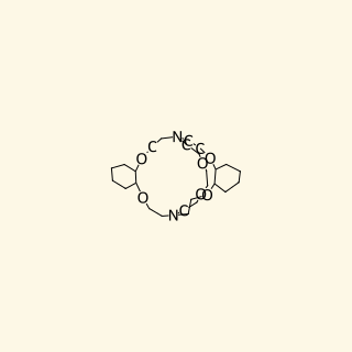 C1CCC2OCCN3CCOCCOCCN(CCOC2C1)CCOC1CCCCC1OCC3